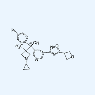 CC(C)c1ccc([C@](O)(c2cncc(-c3noc(C4COC4)n3)c2)C2(C)CN(C3CC3)C2)cc1